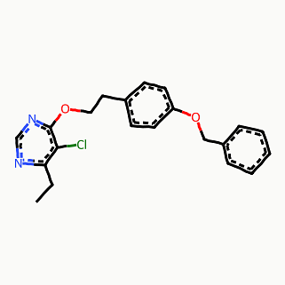 CCc1ncnc(OCCc2ccc(OCc3ccccc3)cc2)c1Cl